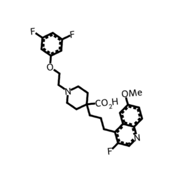 COc1ccc2ncc(F)c(CCCC3(C(=O)O)CCN(CCOc4cc(F)cc(F)c4)CC3)c2c1